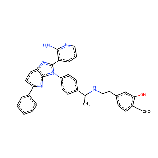 CC(NCCc1ccc(C=O)c(O)c1)c1ccc(-n2c(-c3cccnc3N)nc3ccc(-c4ccccc4)nc32)cc1